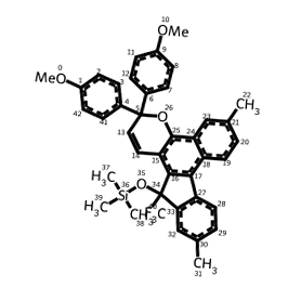 COc1ccc(C2(c3ccc(OC)cc3)C=Cc3c4c(c5ccc(C)cc5c3O2)-c2ccc(C)cc2C4(O[Si](C)(C)C)C(F)(F)F)cc1